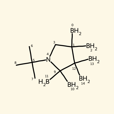 BC1(B)CN(C(C)(C)C)C(B)(B)C1(B)B